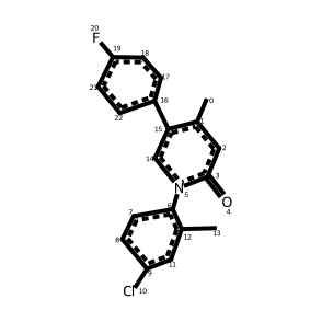 Cc1cc(=O)n(-c2ccc(Cl)cc2C)cc1-c1ccc(F)cc1